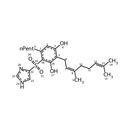 CCCCCc1cc(O)c(CC=C(C)CCC=C(C)C)c(O)c1S(=O)(=O)c1c[nH]cn1